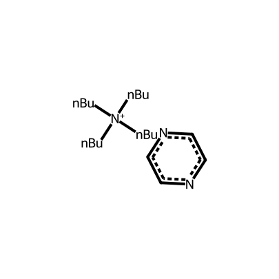 CCCC[N+](CCCC)(CCCC)CCCC.c1cnccn1